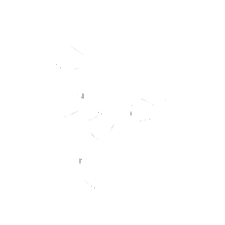 Cc1cc(C(C)NC(=O)c2cc(CNC3=NCCC3)cc(-c3ccc(F)cc3C(F)(F)F)n2)ncc1Cl